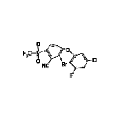 N#Cc1c(S(=O)(=O)C(F)(F)F)ccc(Oc2cc(F)cc(Cl)c2)c1Br